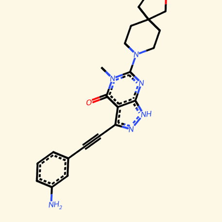 Cn1c(N2CCC3(CCOC3)CC2)nc2[nH]nc(C#Cc3cccc(N)c3)c2c1=O